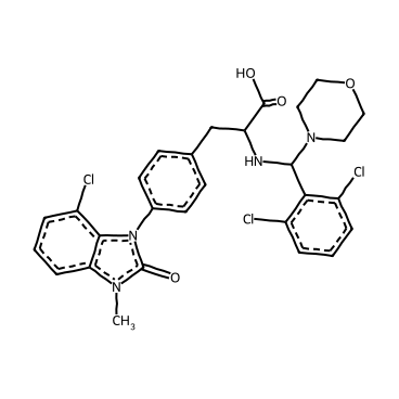 Cn1c(=O)n(-c2ccc(CC(NC(c3c(Cl)cccc3Cl)N3CCOCC3)C(=O)O)cc2)c2c(Cl)cccc21